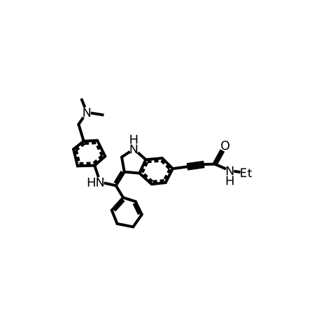 CCNC(=O)C#Cc1ccc2c(c1)NC/C2=C(\Nc1ccc(CN(C)C)cc1)C1=CCCC=C1